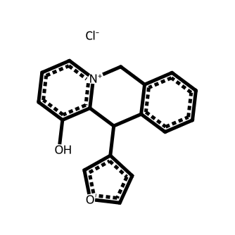 Oc1ccc[n+]2c1C(c1ccoc1)c1ccccc1C2.[Cl-]